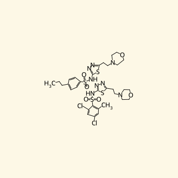 CCCc1ccc(S(=O)(=O)Nc2nnc(CCN3CCOCC3)s2)cc1.Cc1cc(Cl)cc(Cl)c1S(=O)(=O)Nc1nnc(CCN2CCOCC2)s1